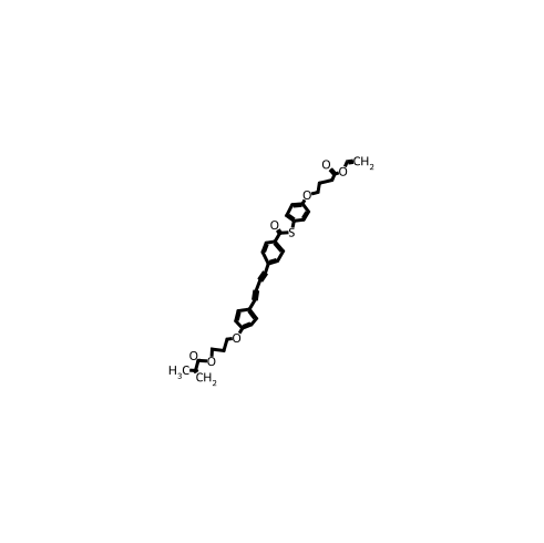 C=COC(=O)CCCOc1ccc(SC(=O)c2ccc(C#CC#Cc3ccc(OCCCOC(=O)C(=C)C)cc3)cc2)cc1